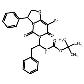 CC(C)(C)OC(=O)NC(Cc1ccccc1)n1c(=O)c(Br)c2n(c1=O)C(c1ccccc1)CO2